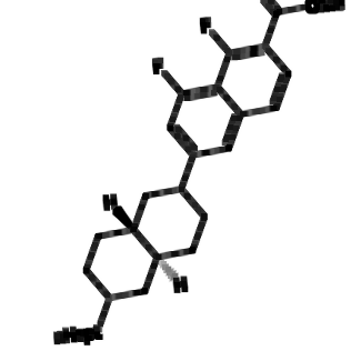 CCCCCCCC1CC[C@@H]2CC(c3cc(F)c4c(F)c(C(=O)OC)ccc4c3)CC[C@H]2C1